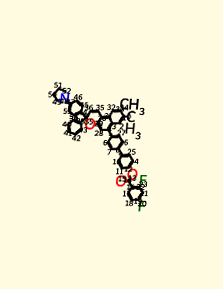 Cc1cc2c(-c3ccc(-c4ccc(OC(=O)c5ccc(F)cc5F)cc4)cc3)cc3c(c2cc1C)C=CC(c1ccccc1)(c1ccc(N2CCCC2)cc1)O3